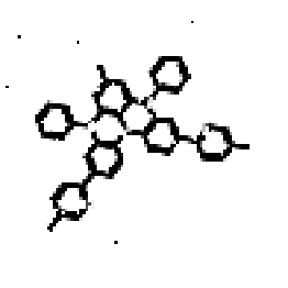 Cc1ccc(-c2ccc3c(c2)P(c2ccccc2)c2cc(C)cc4c2N3c2ccc(-c3ccc(C)cn3)cc2P4c2ccccc2)nc1